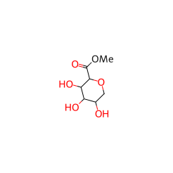 COC(=O)C1OCC(O)C(O)C1O